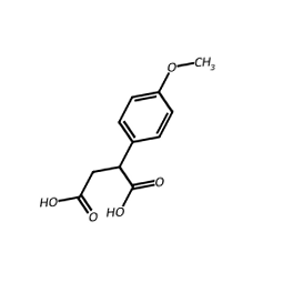 COc1ccc(C(CC(=O)O)C(=O)O)cc1